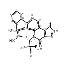 CN(C)S(=O)(=O)c1ccccc1-c1cc2c(cn1)c1[nH]ncc1c(=O)n2CC(F)(F)F